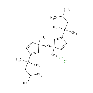 CC(C)CC(C)(C)C1=C[C](C)([Zr+2][C]2(C)C=CC(C(C)(C)CC(C)C)=C2)C=C1.[Cl-].[Cl-]